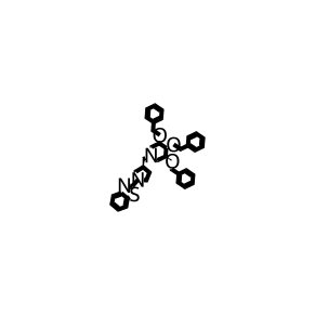 c1ccc(COC2[C@@H](OCc3ccccc3)CN(C[C@H]3CCN(c4nc5ccccc5s4)C3)C[C@H]2OCc2ccccc2)cc1